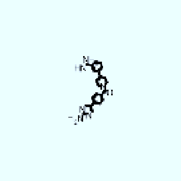 N=C(N)c1cccc(C2=CCN(C(=O)c3ccc(-c4cnc(N)nc4)cc3)CC2)c1